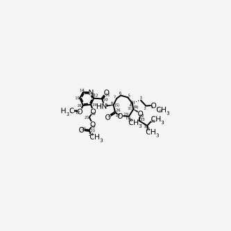 COCC[C@H]1CCC[C@H](NC(=O)c2nccc(OC)c2OCOC(C)=O)C(=O)O[C@@H](C)[C@@H]1OCC(C)C